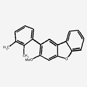 COc1cc2oc3ccccc3c2cc1-c1cccc(C)c1C